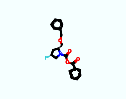 O=C(OC(=O)N1C[C@H](F)C[C@@H]1COCc1ccccc1)c1ccccc1